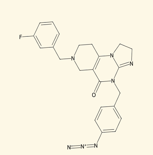 [N-]=[N+]=Nc1ccc(CN2C(=O)C3=C(CCN(Cc4cccc(F)c4)C3)N3CCN=C23)cc1